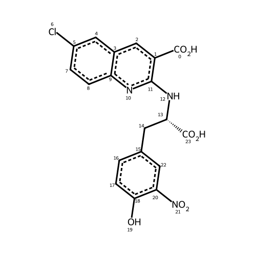 O=C(O)c1cc2cc(Cl)ccc2nc1N[C@@H](Cc1ccc(O)c([N+](=O)[O-])c1)C(=O)O